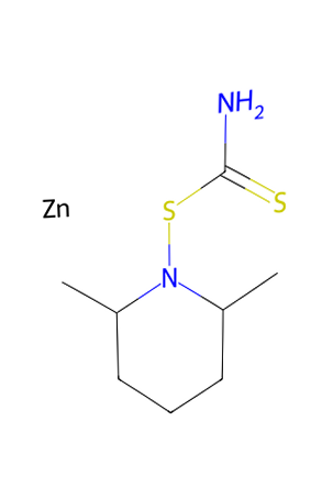 CC1CCCC(C)N1SC(N)=S.[Zn]